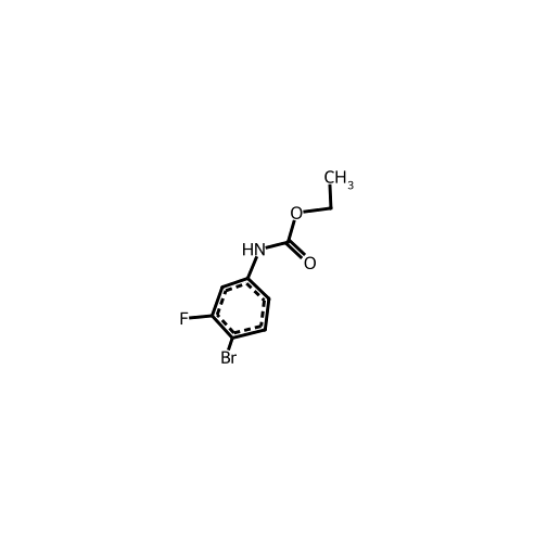 CCOC(=O)Nc1ccc(Br)c(F)c1